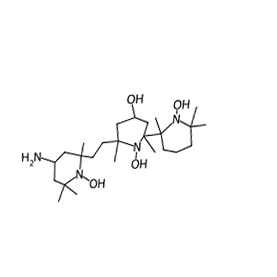 CC1(C)CC(N)CC(C)(CCC2(C)CC(O)CC(C)(C3(C)CCCC(C)(C)N3O)N2O)N1O